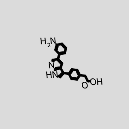 Nc1cccc(-c2cnc3[nH]cc(-c4ccc(CC(=O)O)cc4)c3c2)c1